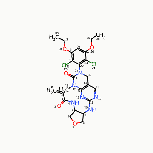 C=CC(=O)NC1COCC1Nc1ncc2c(n1)N(C)C(=O)N(c1c(Cl)c(OCC)cc(OCC)c1Cl)C2